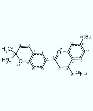 CC1(C)C=Cc2cc(C(=O)CC(C[18F])c3ccc(C(C)(C)C)cc3)ccc2O1